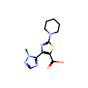 Cn1ncnc1-c1nc(N2CCCCC2)sc1C(=O)O